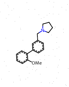 COc1ccccc1-c1cccc(CN2CCCC2)c1